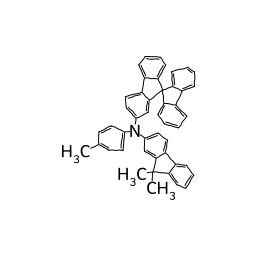 Cc1ccc(N(c2ccc3c(c2)C(C)(C)c2ccccc2-3)c2ccc3c(c2)C2(c4ccccc4-c4ccccc42)c2ccccc2-3)cc1